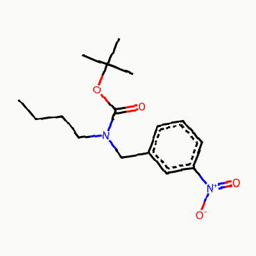 CCCCN(Cc1cccc([N+](=O)[O-])c1)C(=O)OC(C)(C)C